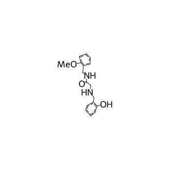 COc1ccccc1CNC(=O)CNCc1ccccc1O